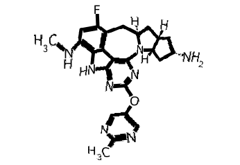 CNc1cc(F)c2c3c1[nH]c1nc(Oc4cnc(C)nc4)nc(c13)N1[C@@H](C2)C[C@@H]2C[C@H](N)C[C@@H]21